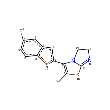 CC1=C(c2cc3cc(F)ccc3s2)N2CCN=C2S1